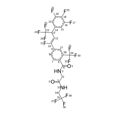 O=C(CNC(=O)c1ccc(C(F)=CC(c2cc(F)c(F)c(F)c2)C(F)(F)F)cc1C(F)(F)F)NCC(F)(F)F